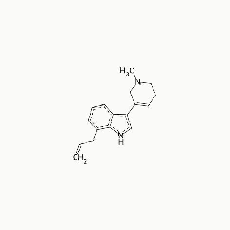 C=CCc1cccc2c(C3=CCCN(C)C3)c[nH]c12